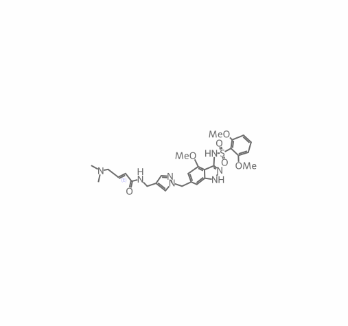 COc1cccc(OC)c1S(=O)(=O)Nc1n[nH]c2cc(Cn3cc(CNC(=O)/C=C/CN(C)C)cn3)cc(OC)c12